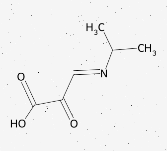 CC(C)N=CC(=O)C(=O)O